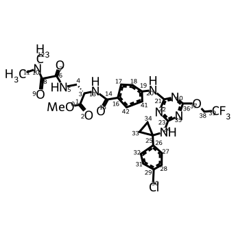 COC(=O)[C@H](CNC(=O)C(=O)N(C)C)NC(=O)c1ccc(Nc2nc(NC3(c4ccc(Cl)cc4)CC3)nc(OCC(F)(F)F)n2)cc1